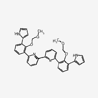 COCOc1c(-c2cccc(-c3cccc(-c4cccc(-c5ccc[nH]5)c4OCOC)n3)n2)cccc1-c1ccc[nH]1